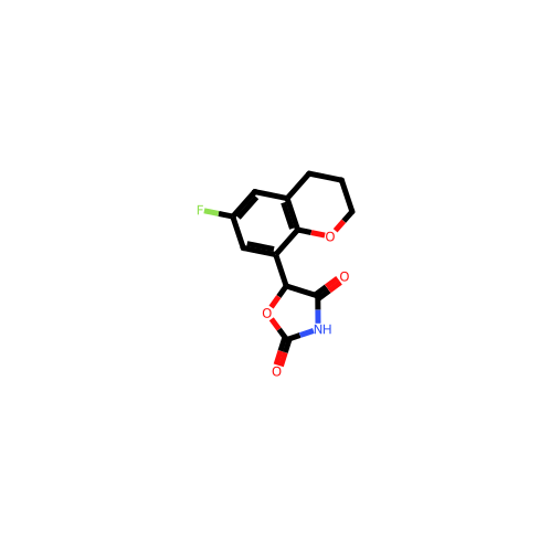 O=C1NC(=O)C(c2cc(F)cc3c2OCCC3)O1